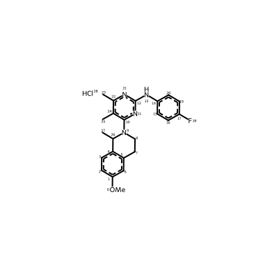 COc1ccc2c(c1)CCN(c1nc(Nc3ccc(F)cc3)nc(C)c1C)C2C.Cl